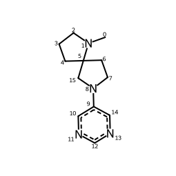 CN1CCCC12CCN(c1cncnc1)C2